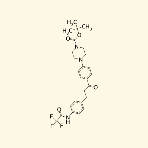 CC(C)(C)OC(=O)N1CCN(c2ccc(C(=O)CCc3ccc(NC(=O)C(F)(F)F)cc3)cc2)CC1